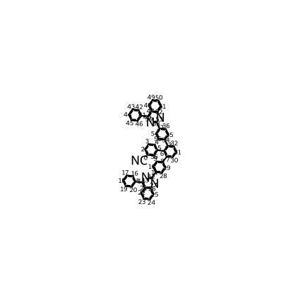 N#Cc1cccc(-c2c(-c3ccc(-c4nc(-c5ccccc5)c5ccccc5n4)cc3)cccc2-c2ccc(-c3nc(-c4ccccc4)c4ccccc4n3)cc2)c1